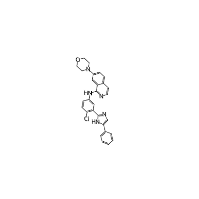 Clc1ccc(Nc2nccc3ccc(N4CCOCC4)cc23)cc1-c1ncc(-c2ccccc2)[nH]1